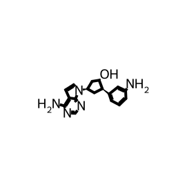 Nc1cccc([C@H]2C[C@@H](n3ccc4c(N)ncnc43)C[C@@H]2O)c1